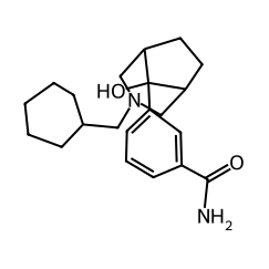 NC(=O)c1cccc(C2(O)C3CCC2CN(CC2CCCCC2)C3)c1